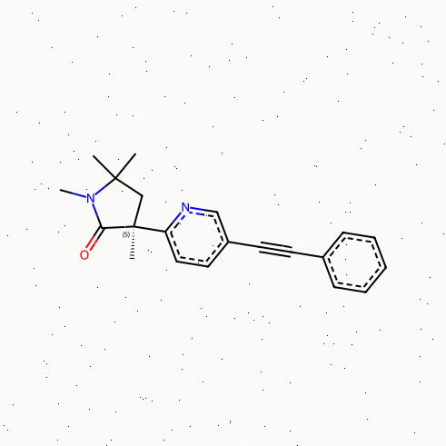 CN1C(=O)[C@](C)(c2ccc(C#Cc3ccccc3)cn2)CC1(C)C